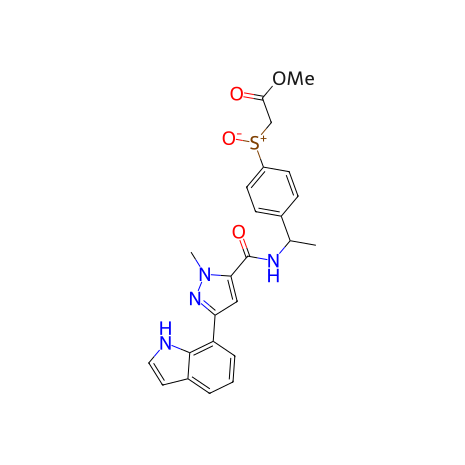 COC(=O)C[S+]([O-])c1ccc(C(C)NC(=O)c2cc(-c3cccc4cc[nH]c34)nn2C)cc1